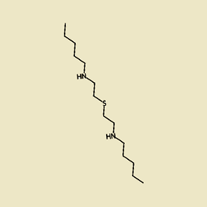 CCCCCNCCSCCNCCCCC